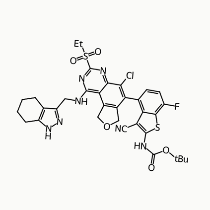 CCS(=O)(=O)c1nc(NCc2n[nH]c3c2CCCC3)c2c3c(c(-c4ccc(F)c5sc(NC(=O)OC(C)(C)C)c(C#N)c45)c(Cl)c2n1)COC3